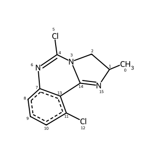 CC1CN2C(Cl)=Nc3cccc(Cl)c3C2=N1